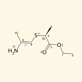 CCOC(=O)[C@H](C)S/C=C(\C)N